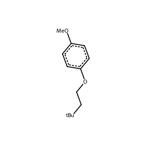 COc1ccc(OCCC(C)(C)C)cc1